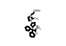 COCC[n+]1ccn([C@@H]2CC[C@@H](C(C(N)=O)(c3ccccc3)c3ccccc3)C2)c1C.[Br-]